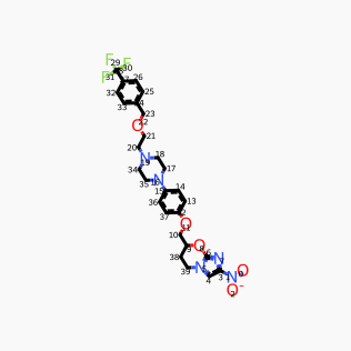 O=[N+]([O-])c1cn2c(n1)OC(COc1ccc(N3CCN(CCOCc4ccc(C(F)(F)F)cc4)CC3)cc1)CC2